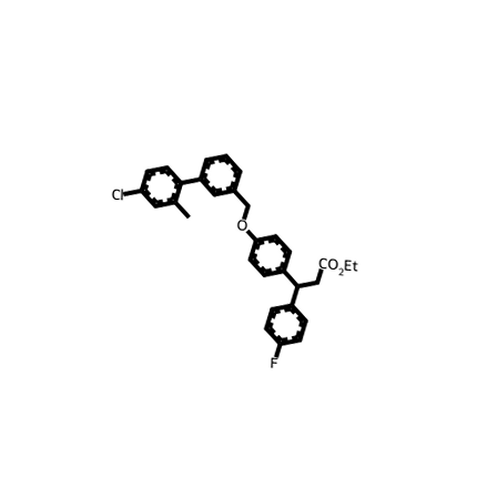 CCOC(=O)CC(c1ccc(F)cc1)c1ccc(OCc2cccc(-c3ccc(Cl)cc3C)c2)cc1